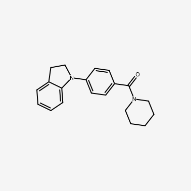 O=C(c1ccc(N2CCc3ccccc32)cc1)N1CCCCC1